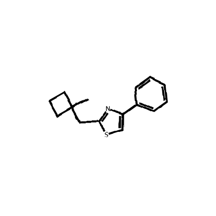 CC1(Cc2nc(-c3ccccc3)cs2)CCC1